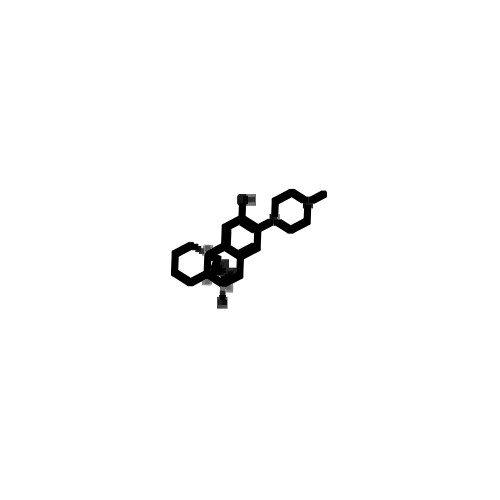 CN1CCN(c2cc3c(cc2O)[C@]24CCCC[C@@H]2[C@H](C3)NCC4)CC1